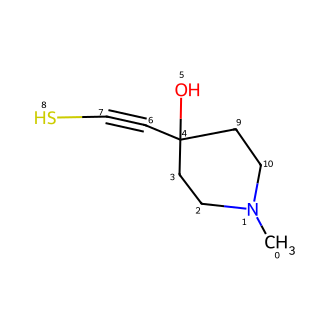 CN1CCC(O)(C#CS)CC1